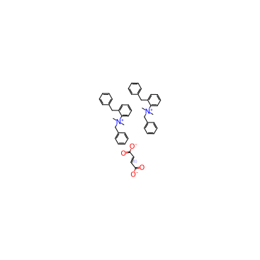 C[N+](C)(Cc1ccccc1)c1ccccc1Cc1ccccc1.C[N+](C)(Cc1ccccc1)c1ccccc1Cc1ccccc1.O=C([O-])/C=C/C(=O)[O-]